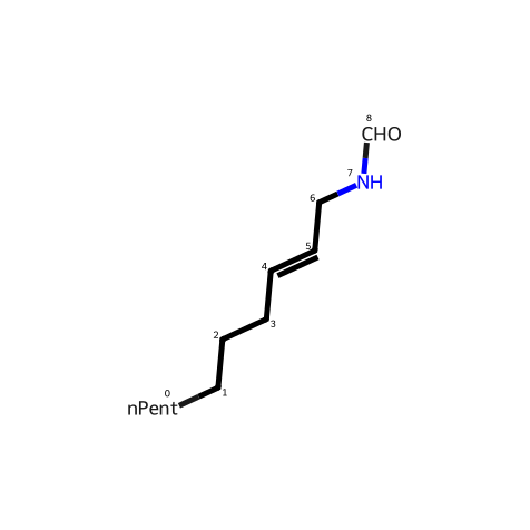 CCCCCCCC/C=C/CNC=O